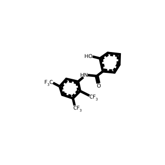 O=C(Nc1cc(C(F)(F)F)cc(C(F)(F)F)c1C(F)(F)F)c1ccccc1O